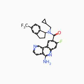 Nc1nc2cc(F)c(C(=O)N(CC3CC3)C3CCc4cc(C(F)(F)F)ccc43)cc2c2cnccc12